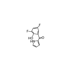 O=C(c1ccc[nH]1)c1cc(F)cc(F)c1O